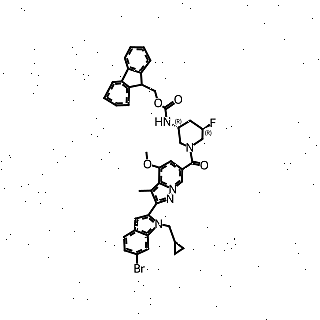 COc1cc(C(=O)N2C[C@H](F)C[C@@H](NC(=O)OCC3c4ccccc4-c4ccccc43)C2)cn2nc(-c3cc4ccc(Br)cc4n3CC3CC3)c(C)c12